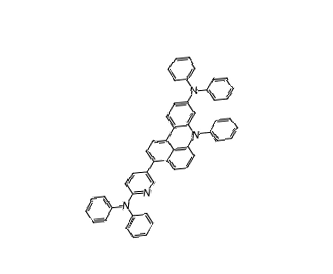 c1ccc(N(c2ccccc2)c2ccc3c(c2)N(c2ccccc2)c2cccc4c(-c5ccc(N(c6ccccc6)c6ccccc6)nc5)ccc-3c24)cc1